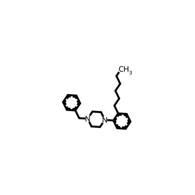 CCCCCCc1ccccc1N1CCN(Cc2ccccc2)CC1